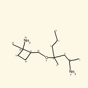 CCCC(C)(CC(C)N)OCC1CCC1(C)N